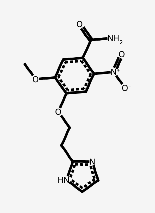 COc1cc(C(N)=O)c([N+](=O)[O-])cc1OCCc1ncc[nH]1